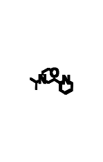 CC(C)N1CCOC(c2ccccn2)C1